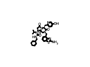 CC(C)N(C(=O)NCC1=CCCC=C1)N1CC(=O)N2[C@@H](Cc3ccc(O)cn3)C(=O)N(Cc3cccc4sc(N)nc34)C[C@@H]21